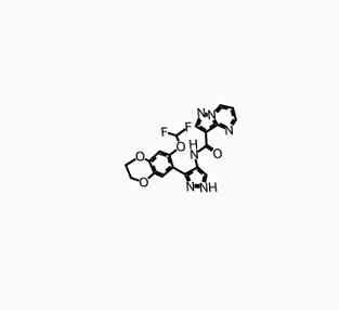 O=C(Nc1c[nH]nc1-c1cc2c(cc1OC(F)F)OCCO2)c1cnn2cccnc12